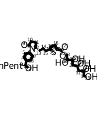 CCCCC[C@H](O)c1ccc(N2C(=O)CC[C@@H]2CCCc2ccc(C(=O)OC[C@@H](O)[C@H](O)C[C@@H](O)C[C@@H](O)CO)s2)cc1